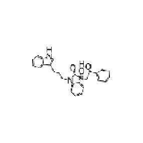 O=C(C[C@]1(O)C(=O)N(CCCc2c[nH]c3ccccc23)c2ccccc21)c1ccccc1